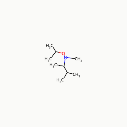 CC(C)ON(C)C(C)C(C)C